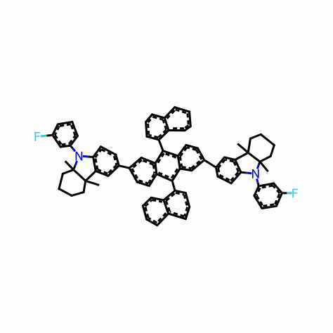 CC12CCCCC1(C)N(c1cccc(F)c1)c1ccc(-c3ccc4c(-c5cccc6ccccc56)c5cc(-c6ccc7c(c6)C6(C)CCCCC6(C)N7c6cccc(F)c6)ccc5c(-c5cccc6ccccc56)c4c3)cc12